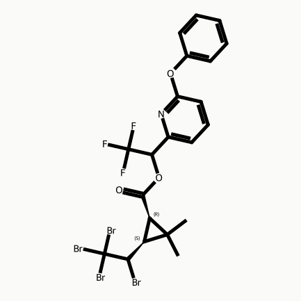 CC1(C)[C@H](C(=O)OC(c2cccc(Oc3ccccc3)n2)C(F)(F)F)[C@@H]1C(Br)C(Br)(Br)Br